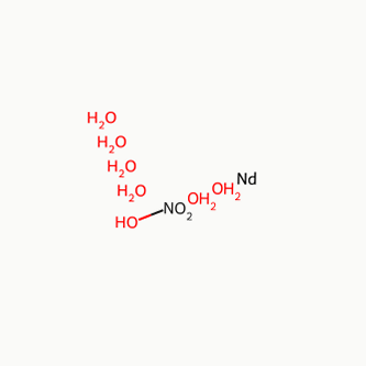 O.O.O.O.O.O.O=[N+]([O-])O.[Nd]